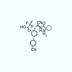 N#Cc1ccc(-c2ccc(C[C@@H](C#N)NC(=O)C3(N)CCCC3)cc2)cc1.O=C(O)C(F)(F)F